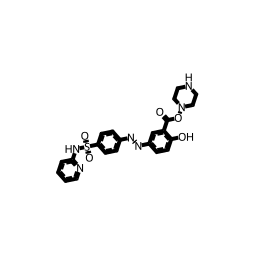 O=C(ON1CCNCC1)c1cc(N=Nc2ccc(S(=O)(=O)Nc3ccccn3)cc2)ccc1O